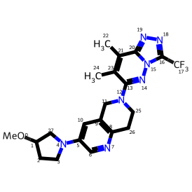 COC1CCN(c2cnc3c(c2)CN(c2nn4c(C(F)(F)F)nnc4c(C)c2C)CC3)C1